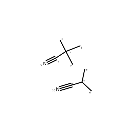 CC(C)(C)C#N.CC(C)C#N